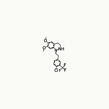 COc1cc2c(cc1OC)[C@H](CCc1ccc(Cl)c(C(F)(F)F)c1)NCC2